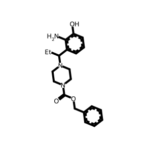 CCC(c1cccc(O)c1N)N1CCN(C(=O)OCc2ccccc2)CC1